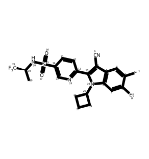 CCc1cc2c(cc1F)c(C#N)c(-c1ccc(S(=O)(=O)N[C@@H](C)C(F)(F)F)cn1)n2C1CCC1